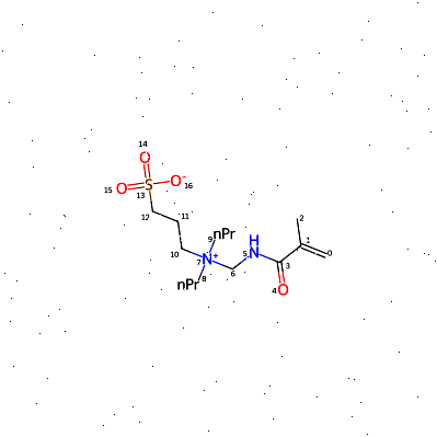 C=C(C)C(=O)NC[N+](CCC)(CCC)CCCS(=O)(=O)[O-]